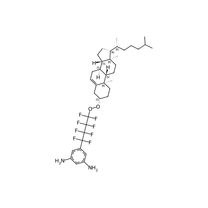 CC(C)CCC[C@@H](C)[C@H]1CC[C@H]2[C@@H]3CC=C4C[C@@H](OOC(F)(F)C(F)(F)C(F)(F)C(F)(F)c5cc(N)cc(N)c5)CC[C@]4(C)[C@H]3CC[C@]12C